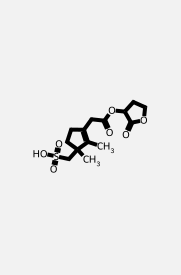 CC1=C(CC(=O)OC2CCOC2=O)CCC1(C)CS(=O)(=O)O